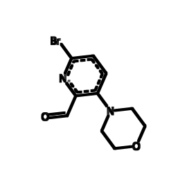 O=Cc1nc(Br)ccc1N1CCOCC1